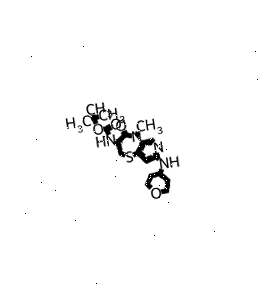 CN1C(=O)[C@@H](NC(=O)OC(C)(C)C)CSc2cc(NC3CCOCC3)ncc21